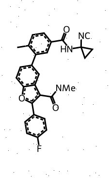 [C-]#[N+]C1(NC(=O)c2ccc(C)c(-c3ccc4oc(-c5ccc(F)cc5)c(C(=O)NC)c4c3)c2)CC1